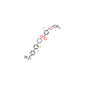 CCOCc1ccc(C(=O)OC2CCC(c3ccc(-c4ccc(C)cc4)c(F)c3F)CC2)cc1F